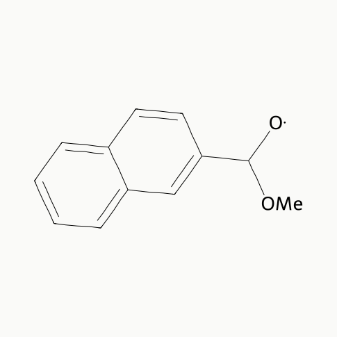 COC([O])c1ccc2ccccc2c1